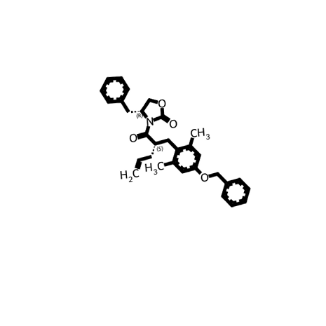 C=CC[C@@H](Cc1c(C)cc(OCc2ccccc2)cc1C)C(=O)N1C(=O)OC[C@H]1Cc1ccccc1